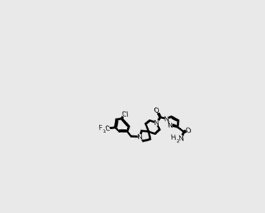 NC(=O)c1ccn(C(=O)N2CCC3(CCN(Cc4cc(Cl)cc(C(F)(F)F)c4)C3)CC2)n1